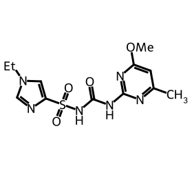 CCn1cnc(S(=O)(=O)NC(=O)Nc2nc(C)cc(OC)n2)c1